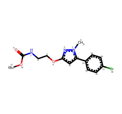 Cn1nc(OCCNC(=O)OC(C)(C)C)cc1-c1ccc(Br)cc1